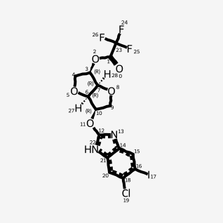 O=C(O[C@@H]1CO[C@H]2[C@@H]1OC[C@H]2Oc1nc2cc(I)c(Cl)cc2[nH]1)C(F)(F)F